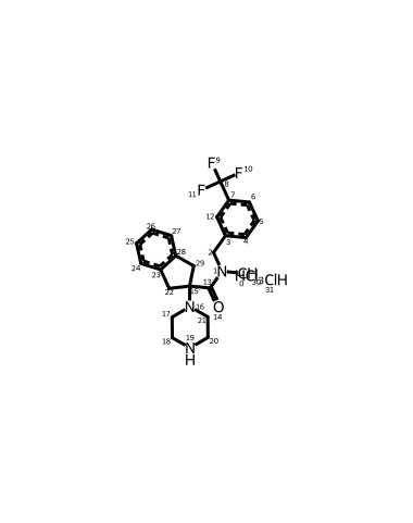 CN(Cc1cccc(C(F)(F)F)c1)C(=O)C1(N2CCNCC2)Cc2ccccc2C1.Cl.Cl